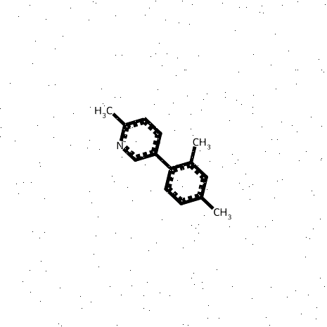 Cc1ccc(-c2ccc(C)nc2)c(C)c1